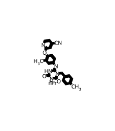 CCCn1c(=O)[nH]/c(=N\c2ccc(Oc3cc(C#N)ccn3)c(C)c2)n(Cc2ccc(C)cc2)c1=O